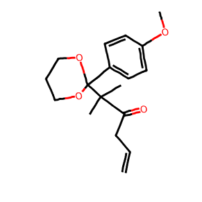 C=CCC(=O)C(C)(C)C1(c2ccc(OC)cc2)OCCCO1